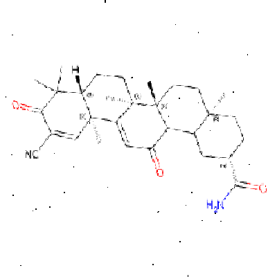 CC1(C)C(=O)C(C#N)=C[C@]2(C)C3=CC(=O)C4C5C[C@@H](C(N)=O)CC[C@]5(C)CC[C@@]4(C)[C@]3(C)CC[C@@H]12